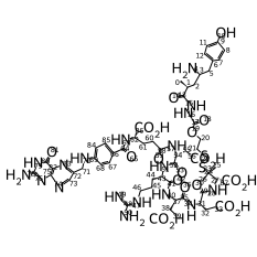 C[C@@H](C[C@@H](N)Cc1ccc(O)cc1)C(=O)NNC(=O)OCCSSC(C)(C)[C@@H](NC(=O)[C@@H](CC(=O)O)NC(=O)[C@@H](CC(=O)O)NC(=O)[C@@H](CCCNC(=N)N)NC(=O)[C@@H](CC(=O)O)NC(=O)CC[C@@H](NC(=O)c1ccc(NCc2cnc3nc(N)[nH]c(=O)c3n2)cc1)C(=O)O)C(=O)O